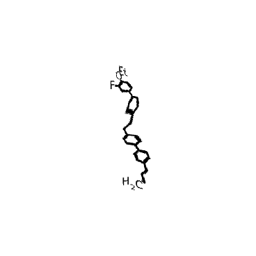 C=CCCc1ccc(-c2ccc(CCc3ccc(-c4ccc(OCC)c(F)c4)cc3)cc2)cc1